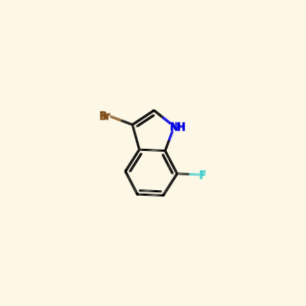 Fc1cccc2c(Br)c[nH]c12